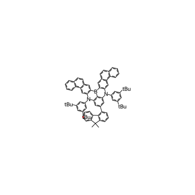 CC(C)(C)c1cc(N2c3cc4c(ccc5ccccc54)cc3B3c4cc5ccc6ccccc6c5cc4N(c4cc(C(C)(C)C)cc(C(C)(C)C)c4)c4cc(-c5cccc6c5-c5ccccc5C6(C)C)cc2c43)cc(C(C)(C)C)c1